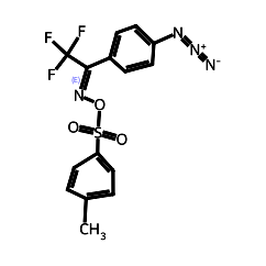 Cc1ccc(S(=O)(=O)O/N=C(\c2ccc(N=[N+]=[N-])cc2)C(F)(F)F)cc1